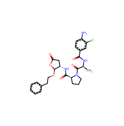 C[C@H](NC(=O)c1ccc(N)c(Cl)c1)C(=O)N1CCC[C@H]1C(=O)N[C@H]1CC(=O)OC1OCCc1ccccc1